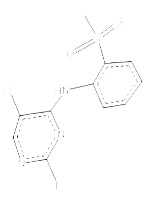 CCc1ncc(Cl)c(Nc2ccccc2S(C)(=O)=O)n1